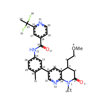 CCN1C(=O)CC(CCOC)c2cc(-c3cc(NC(=O)c4ccnc(C(C)(F)F)c4)ccc3C)cnc21